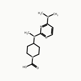 CN(C)c1ccnc(N(C)C2CCN(C(=O)O)CC2)n1